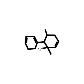 CC1CC=CC(C)(N)C1C1=CC=CCC1